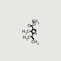 C/C=C(\C)c1scc(C(=O)OC)c1C